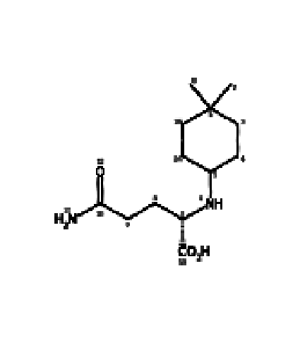 CC1(C)CCC(N[C@@H](CCC(N)=O)C(=O)O)CC1